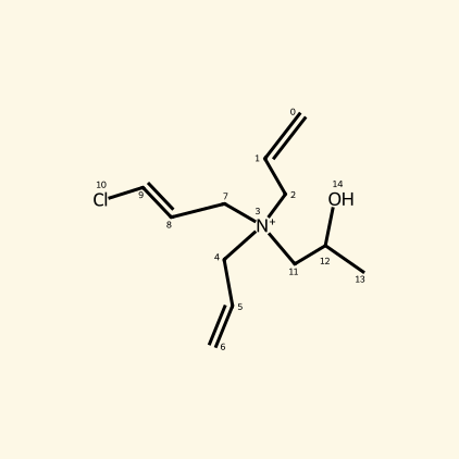 C=CC[N+](CC=C)(CC=CCl)CC(C)O